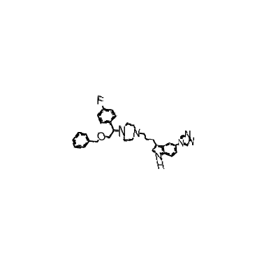 Fc1ccc(C(COCc2ccccc2)N2CCN(CCCc3c[nH]c4ccc(-n5cnnc5)cc34)CC2)cc1